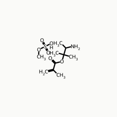 C=C(C)C(=O)OC(C)(C)C(C)N.COS(=O)(=O)O